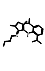 CCCCN=C1C(Nc2c(C(C)C)cccc2C(C)C)=C(C)CC1C